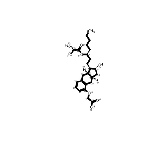 CCCCC[C@@H](CC[C@@H]1[C@H]2Cc3cccc(OCC(=O)O)c3C[C@H]2C[C@H]1O)OC(=O)[C@H](C)O